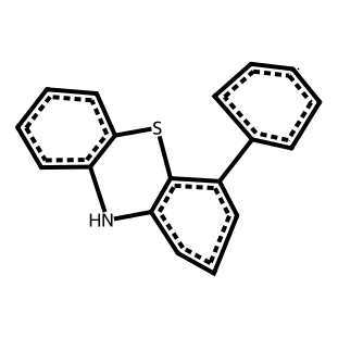 [c]1ccc(-c2cccc3c2Sc2ccccc2N3)cc1